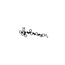 COCCOCCOC(=O)CC[C@H]1NC(=O)OC1=O